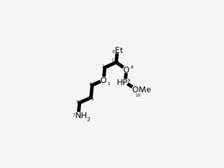 CCC(COCCCN)OPOC